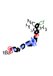 CC(C)(C)OC(=O)N1CCC2(CC1)CC(N1CCC(N3CCN(c4nccc(COc5ccc(C(C)(C)c6cc(Cl)cc(C#N)c6)cc5)n4)CC3)CC1)C2